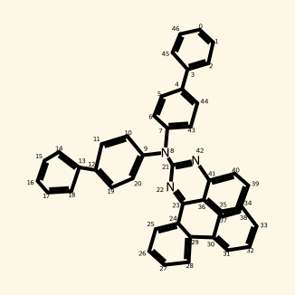 c1ccc(-c2ccc(N(c3ccc(-c4ccccc4)cc3)c3nc(-c4ccccc4-c4ccccc4)c4ccccc4n3)cc2)cc1